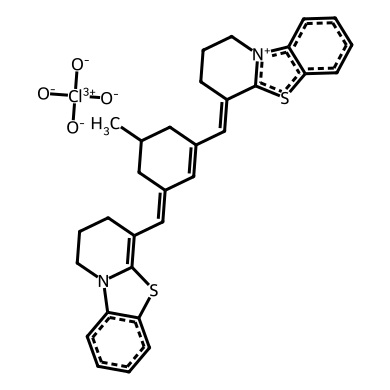 CC1CC(C=C2CCC[n+]3c2sc2ccccc23)=CC(=CC2=C3Sc4ccccc4N3CCC2)C1.[O-][Cl+3]([O-])([O-])[O-]